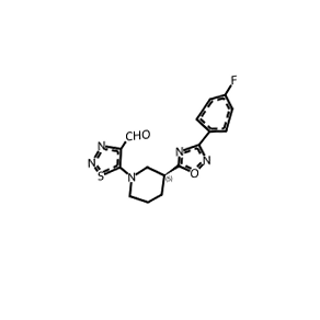 O=Cc1nnsc1N1CCC[C@H](c2nc(-c3ccc(F)cc3)no2)C1